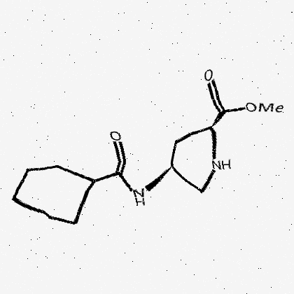 COC(=O)[C@@H]1C[C@H](NC(=O)C2CCCCC2)CN1